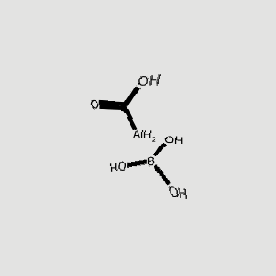 O=[C](O)[AlH2].OB(O)O